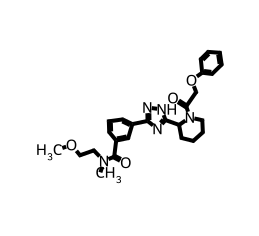 COCCN(C)C(=O)c1cccc(-c2n[nH]c(C3CCCCN3C(=O)COc3ccccc3)n2)c1